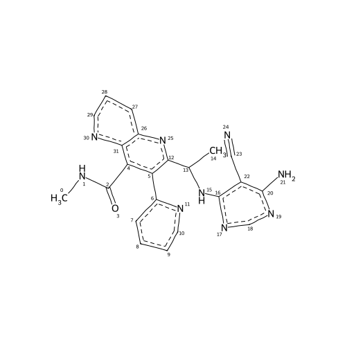 CNC(=O)c1c(-c2ccccn2)c(C(C)Nc2ncnc(N)c2C#N)nc2cccnc12